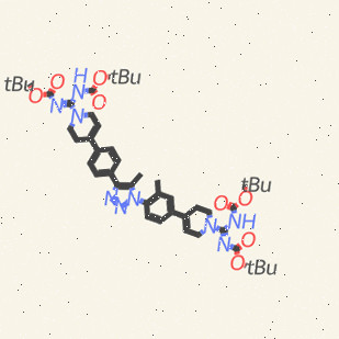 Cc1cc(C2=CCN(/C(=N/C(=O)OC(C)(C)C)NC(=O)OC(C)(C)C)CC2)ccc1-n1nnc(-c2ccc(C3=CCN(/C(=N/C(=O)OC(C)(C)C)NC(=O)OC(C)(C)C)CC3)cc2)c1C